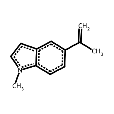 C=C(C)c1ccc2c(ccn2C)c1